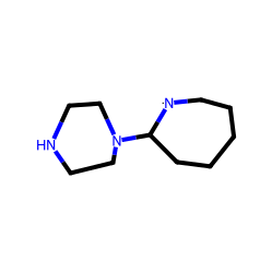 C1CC[N]C(N2CCNCC2)CC1